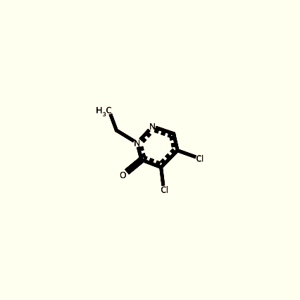 CCn1ncc(Cl)c(Cl)c1=O